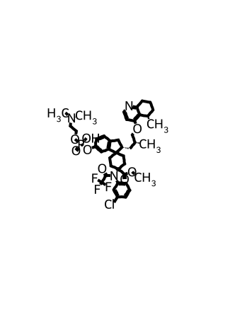 COC(=O)C1(N(C(=O)C(F)(F)F)c2cccc(Cl)c2)CCC2(CC1)c1cc(OP(=O)(O)OCCN(C)C)ccc1C[C@@H]2C[C@@H](C)COc1ccnc2c1[C@H](C)CCC2